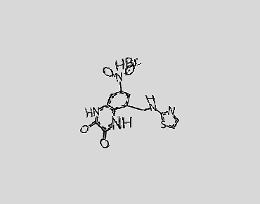 Br.O=c1[nH]c2cc([N+](=O)[O-])cc(CNc3nccs3)c2[nH]c1=O